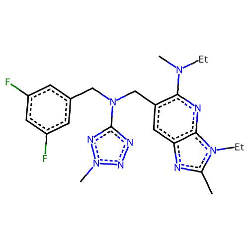 CCN(C)c1nc2c(cc1CN(Cc1cc(F)cc(F)c1)c1nnn(C)n1)nc(C)n2CC